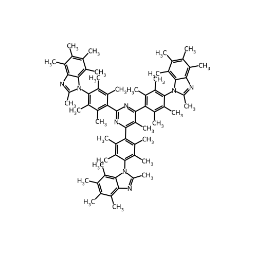 Cc1c(-c2c(C)c(C)c(-n3c(C)nc4c(C)c(C)c(C)c(C)c43)c(C)c2C)nc(-c2c(C)c(C)c(-n3c(C)nc4c(C)c(C)c(C)c(C)c43)c(C)c2C)nc1-c1c(C)c(C)c(-n2c(C)nc3c(C)c(C)c(C)c(C)c32)c(C)c1C